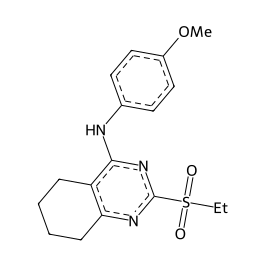 CCS(=O)(=O)c1nc2c(c(Nc3ccc(OC)cc3)n1)CCCC2